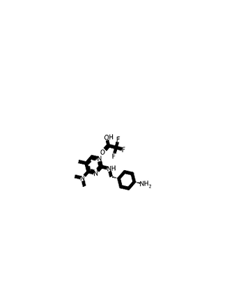 Cc1cnc(NC[C@H]2CC[C@@H](N)CC2)nc1N(C)C.O=C(O)C(F)(F)F